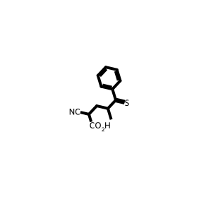 CC(CC(C#N)C(=O)O)C(=S)c1ccccc1